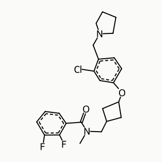 CN(CC1CC(Oc2ccc(CN3CCCC3)c(Cl)c2)C1)C(=O)c1cccc(F)c1F